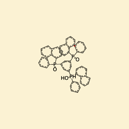 O=P(c1ccccc1)(c1cc(P(=O)(c2ccccc2)c2cccc3ccccc23)cc([PH](O)(c2ccccc2)c2cccc3ccccc23)c1)c1cccc2ccccc12